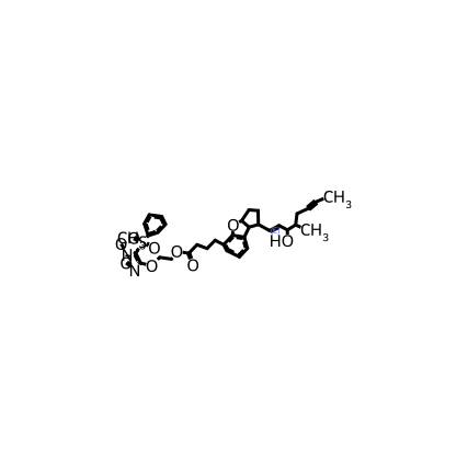 CC#CCC(C)C(O)/C=C/C1CCC2Oc3c(CCCC(=O)OCCOc4no[n+](OC)c4S(=O)(=O)c4ccccc4)cccc3C12